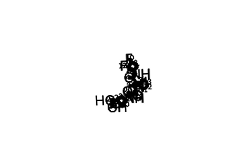 Cc1c(C(=O)Nc2ccc(F)c(F)c2)c2n(c1C(=O)C(=O)Nc1ccc(B(O)O)cc1)CCCC2